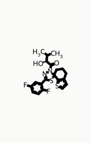 CC(C)[C@H](O)C(=O)N1N=C(c2cc(F)ccc2F)SC12CCCc1ccsc12